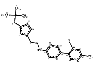 CC(C)(Sc1nc(CCNc2ccc(-c3ccc(C(F)(F)F)cc3F)nn2)cs1)C(=O)O